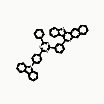 c1ccc(-c2nc(-c3ccc(-n4c5ccccc5c5ccccc54)cc3)nc(-c3cccc(-c4nc5cc6ccccc6cc5c5sc6ccccc6c45)c3)n2)cc1